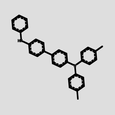 Cc1ccc(N(c2ccc(C)cc2)c2ccc(-c3ccc(Nc4ccccc4)cc3)cc2)cc1